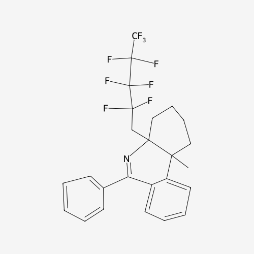 CC12CCCCC1(CC(F)(F)C(F)(F)C(F)(F)C(F)(F)F)N=C(c1ccccc1)c1ccccc12